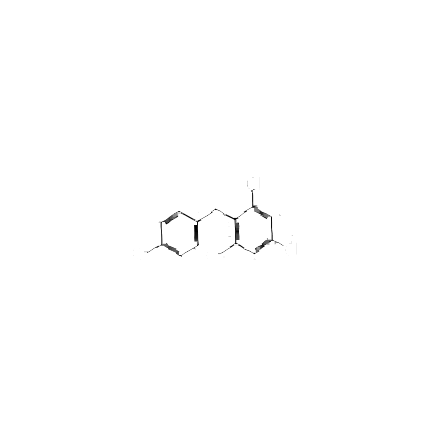 Clc1ccc(Cc2c(Cl)cc(Cl)cc2Cl)cc1